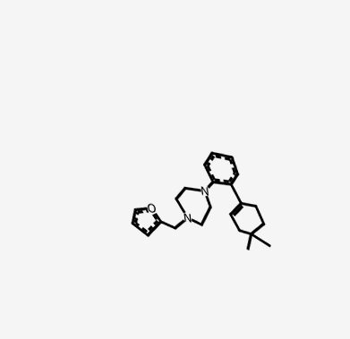 CC1(C)CC=C(c2ccccc2N2CCN(Cc3ccco3)CC2)CC1